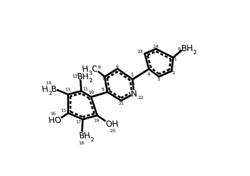 Bc1ccc(-c2cc(C)c(-c3c(B)c(B)c(O)c(B)c3O)cn2)cc1